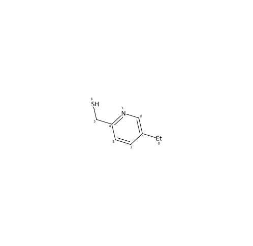 CCc1ccc(CS)nc1